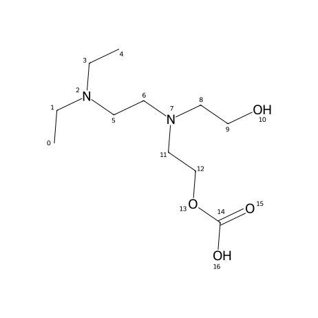 CCN(CC)CCN(CCO)CCOC(=O)O